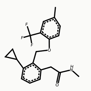 CNC(=O)Cc1cccc(C2CC2)c1COc1ccc(C)cc1C(F)(F)F